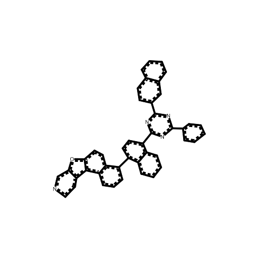 c1ccc(-c2nc(-c3ccc4ccccc4c3)nc(-c3ccc(-c4cccc5c4ccc4oc6cnccc6c45)c4ccccc34)n2)cc1